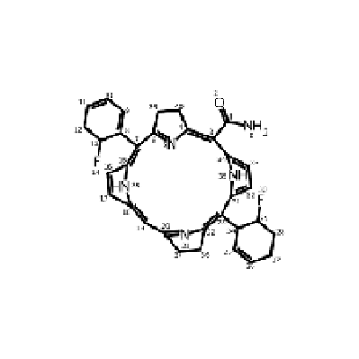 NC(=O)c1c2nc(c(C3=CC=CCC3F)c3ccc(cc4nc(c(C5C=CCCC5F)c5ccc1[nH]5)CC4)[nH]3)CC2